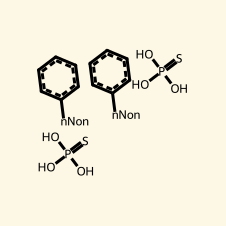 CCCCCCCCCc1ccccc1.CCCCCCCCCc1ccccc1.OP(O)(O)=S.OP(O)(O)=S